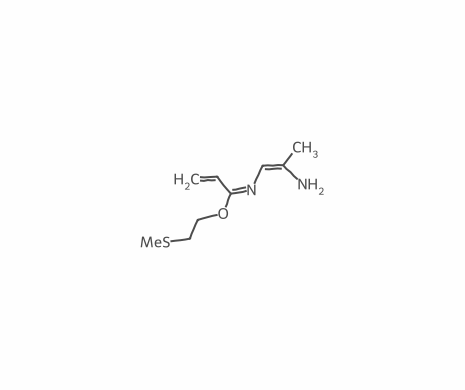 C=C/C(=N\C=C(\C)N)OCCSC